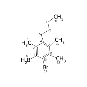 Bc1c(C)c(CCCC)c(C)c(C)c1Br